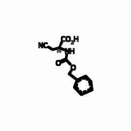 N#CC[C@H](NC(=O)OCc1ccccc1)C(=O)O